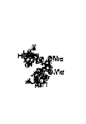 COc1cc(CC(=O)Oc2ccc3c4c2C[C@H]2C(=O)CC[C@@]5(O)[C@@H](C3)N(CC3CC3)CC[C@]425)c2c(CC(=O)Oc3ccc4c5c3O[C@H]3C(=O)CC[C@@]6(O)[C@@H](C4)N(CC4CC4)CC[C@]536)cc(OC)cc2c1